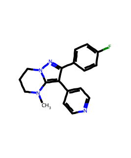 CN1CCCn2nc(-c3ccc(F)cc3)c(-c3ccncc3)c21